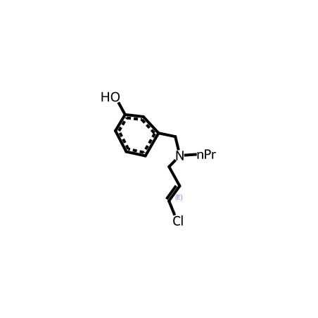 CCCN(C/C=C/Cl)Cc1cccc(O)c1